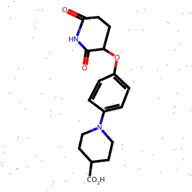 O=C1CCC(Oc2ccc(N3CCC(C(=O)O)CC3)cc2)C(=O)N1